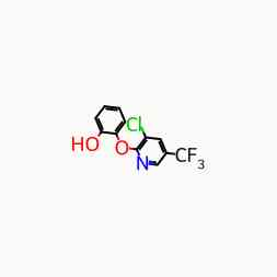 Oc1ccccc1Oc1ncc(C(F)(F)F)cc1Cl